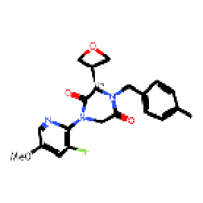 COc1cnc(N2CC(=O)N(Cc3ccc(C)cc3)[C@H](C3COC3)C2=O)c(F)c1